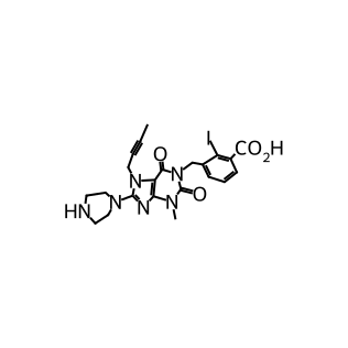 CC#CCn1c(N2CCNCC2)nc2c1c(=O)n(Cc1cccc(C(=O)O)c1I)c(=O)n2C